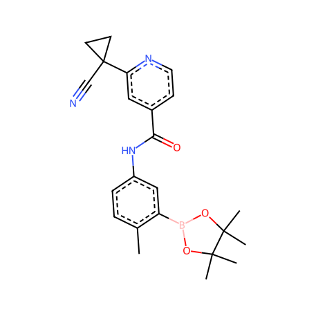 Cc1ccc(NC(=O)c2ccnc(C3(C#N)CC3)c2)cc1B1OC(C)(C)C(C)(C)O1